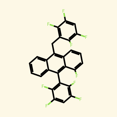 Fc1cc(F)c(F)c(Cc2c3ccccc3c(-c3c(F)c(F)cc(F)c3F)c3c(F)cccc23)c1F